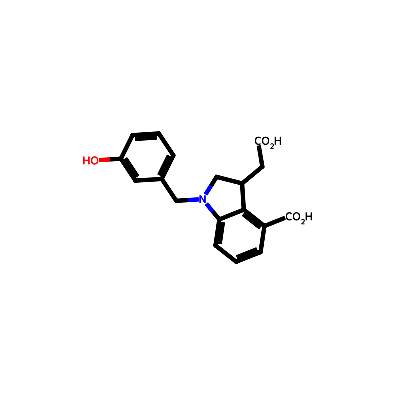 O=C(O)CC1CN(Cc2cccc(O)c2)c2cccc(C(=O)O)c21